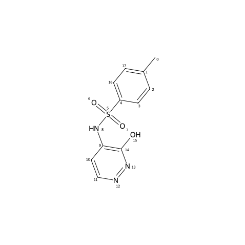 Cc1ccc(S(=O)(=O)Nc2ccnnc2O)cc1